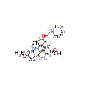 CCN(Cc1ccc(OCCN2CCCCCCC2)cc1)c1cc(OC)ccc1C1CCc2cc(OC)ccc2C1